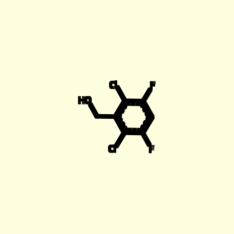 OCc1c(Cl)c(F)cc(F)c1Cl